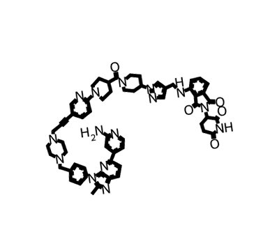 Cc1nc2ccc(-c3ccnc(N)c3)nc2n1-c1ccc(CN2CCN(CC#Cc3ccc(N4CCC(C(=O)N5CCC(n6cc(CNc7cccc8c7C(=O)N(C7CCC(=O)NC7=O)C8=O)cn6)CC5)CC4)nc3)CC2)cc1